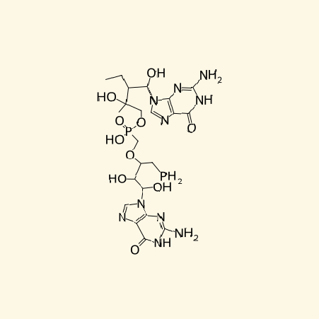 CCC(C(O)n1cnc2c(=O)[nH]c(N)nc21)C(C)(O)COP(=O)(O)COC(CP)C(O)C(O)n1cnc2c(=O)[nH]c(N)nc21